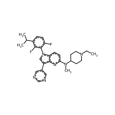 CCN1CCC(N(C)c2ccc3c(n2)c(-c2cncnc2)cn3-c2c(F)ccc(C(C)C)c2F)CC1